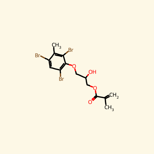 C=C(C)C(=O)OCC(O)COc1c(Br)cc(Br)c(C)c1Br